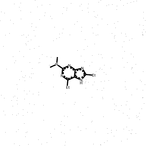 CCc1nc2nc(N(C)C)nc(CC)c2[nH]1